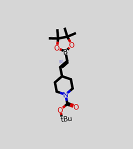 CC(C)(C)OC(=O)N1CCC(/C=C/B2OC(C)(C)C(C)(C)O2)CC1